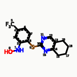 ONc1cc(C(F)(F)F)ccc1Sc1ncc2c(n1)CCCC2